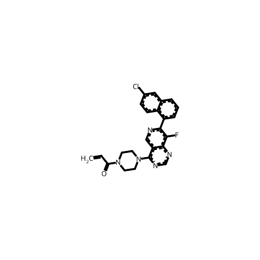 C=CC(=O)N1CCN(c2ncnc3c(F)c(-c4cccc5cc(Cl)ccc45)ncc23)CC1